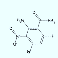 NC(=O)c1c(F)cc(Br)c([N+](=O)[O-])c1N